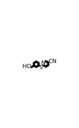 N#Cc1ccc(Sc2cccc(CO)c2)nc1